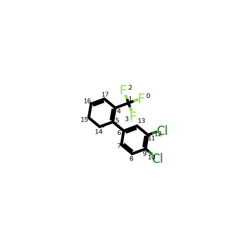 FC(F)(F)C1=C(c2ccc(Cl)c(Cl)c2)[CH]CC=C1